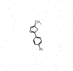 CC(=O)c1ccc(-c2ncc(C)s2)cc1